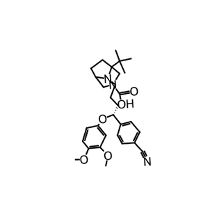 COc1ccc(O[C@H](CCCN2C3CCC2(C(C)(C)C)CN(C(=O)O)C3)c2ccc(C#N)cc2)cc1OC